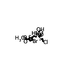 COC(=O)c1cc(Br)c(CCN(NC(=O)O)C(=O)SCCCl)s1